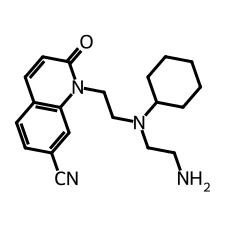 N#Cc1ccc2ccc(=O)n(CCN(CCN)C3CCCCC3)c2c1